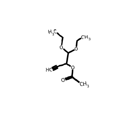 C#CC(OC(C)=O)C(OCC)OCC